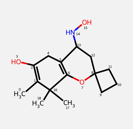 CC1=C(O)CC2=C(OC3(CCC3)CC2NO)C1(C)C